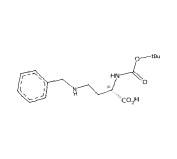 CC(C)(C)OC(=O)N[C@@H](CCNCc1ccccc1)C(=O)O